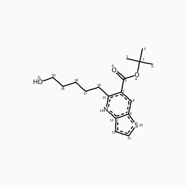 CC(C)(C)OC(=O)c1cc2sccc2nc1CCCCCO